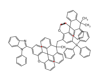 CC1(C)c2ccccc2C2(c3ccccc3Oc3c(CC4(C)c5ccccc5C5(c6ccccc6Oc6cc(-c7nc8ccccc8n7-c7ccccc7)ccc65)c5ccccc54)cc([Si](c4ccccc4)(c4ccccc4)c4ccccc4)cc32)c2ccccc21